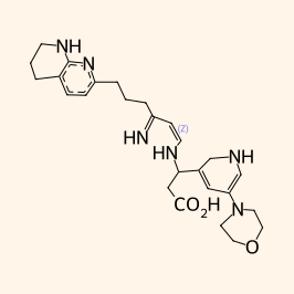 N=C(/C=C\NC(CC(=O)O)C1=CC(N2CCOCC2)=CNC1)CCCc1ccc2c(n1)NCCC2